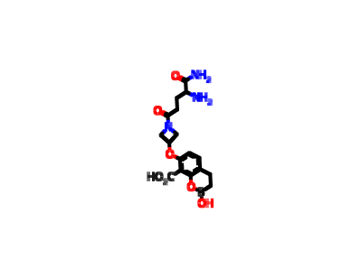 NC(=O)C(N)CCC(=O)N1CC(Oc2ccc3c(c2C(=O)O)OB(O)CC3)C1